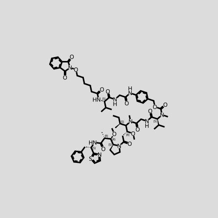 CC[C@H](C)C([C@@H](CC(=O)N1CCC[C@H]1[C@H](OC)[C@@H](C)C(=O)N[C@@H](Cc1ccccc1)c1nccs1)OC)N(C)C(=O)CNC(=O)[C@H](C(C)C)N(C)C(=O)OCc1ccc(NC(=O)CNC(=O)[C@@H](NC(=O)CCCCCON2C(=O)c3ccccc3C2=O)C(C)C)cc1